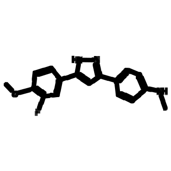 CNc1ccc(-c2cc(-c3ccc(OC)c(F)c3)[nH]n2)cc1